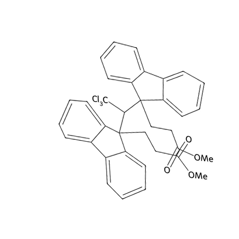 COC(=O)CCC1(C(C(Cl)(Cl)Cl)C2(CCC(=O)OC)c3ccccc3-c3ccccc32)c2ccccc2-c2ccccc21